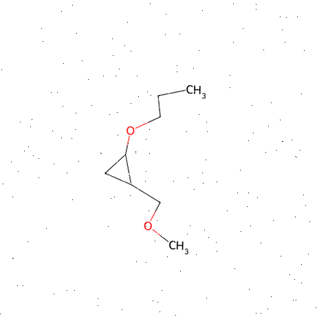 CCCOC1CC1COC